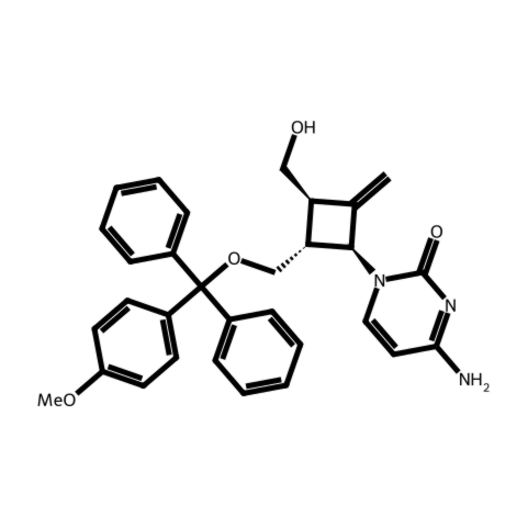 C=C1[C@@H](n2ccc(N)nc2=O)[C@H](COC(c2ccccc2)(c2ccccc2)c2ccc(OC)cc2)[C@H]1CO